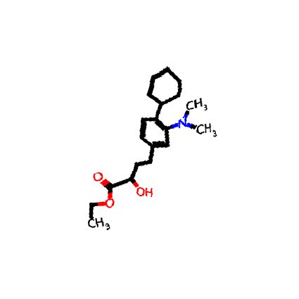 CCOC(=O)C(O)CCc1ccc(C2CCCCC2)c(N(C)C)c1